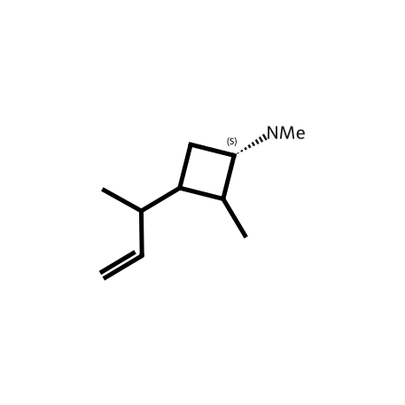 C=CC(C)C1C[C@H](NC)C1C